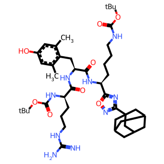 Cc1cc(O)cc(C)c1C[C@H](NC(=O)[C@@H](CCCNC(=N)N)NC(=O)OC(C)(C)C)C(=O)N[C@@H](CCCCNC(=O)OC(C)(C)C)c1nc(C23CC4CC(CC(C4)C2)C3)no1